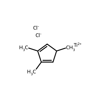 CC1=CC(C)C=C1C.[Cl-].[Cl-].[Ti+2]